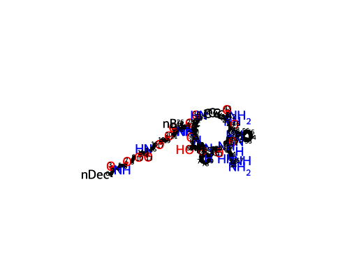 CCCCCCCCCCCC(=O)NCCOCCOCC(=O)NCCOCCOCC(=O)N[C@@H](CCCC)C(=O)N[C@H]1CCC(=O)NCCCC[C@@H](C(N)=O)NC(=O)[C@H](Cc2c[nH]c3ccccc23)NC(=O)[C@H](CCCNC(=N)N)NC(=O)[C@@H](Cc2ccccc2)NC(=O)[C@@H]2C[C@@H](O)CN2C1=O